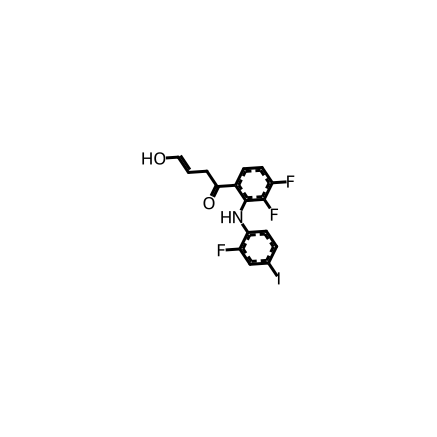 O=C(CC=CO)c1ccc(F)c(F)c1Nc1ccc(I)cc1F